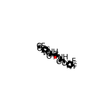 O=C(COc1ccc(F)c(F)c1)NC12CC(C(=O)Nc3ccc(OC(F)(F)F)cn3)(C1)C2